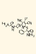 N#Cc1c(SC(C(N)=O)c2ccccc2)nc(N2CC(NC(=O)CN)C2)c(C#N)c1C1CC1